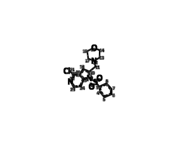 O=S(=O)(c1ccccc1)n1c(CN2CCOCC2)cc2c(Cl)nccc21